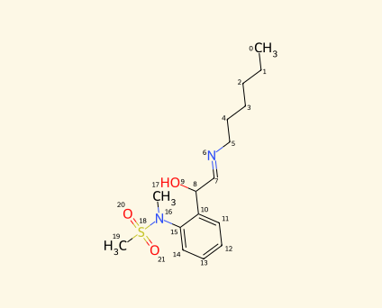 CCCCCCN=CC(O)c1ccccc1N(C)S(C)(=O)=O